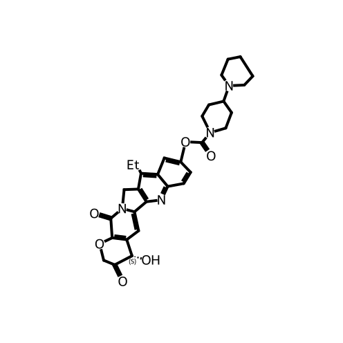 CCc1c2c(nc3ccc(OC(=O)N4CCC(N5CCCCC5)CC4)cc13)-c1cc3c(c(=O)n1C2)OCC(=O)[C@H]3O